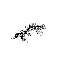 CC[C@H](C)[C@H](NC(=O)[C@H](Cc1ccc(O)cc1)NC(=O)CN)C(=O)NCC(=O)N[C@@H](CO)C(=O)N[C@@H](CCCNC(=N)N)C(=O)NCC(=O)O